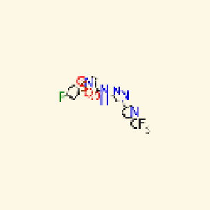 O=C(NCc1cc(-c2ccc(C(F)(F)F)nc2)ncn1)C1CCN1S(=O)(=O)c1ccc(F)cc1